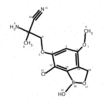 COc1cc(OCC(C)(N)C#N)c(Cl)c2c1COB2O